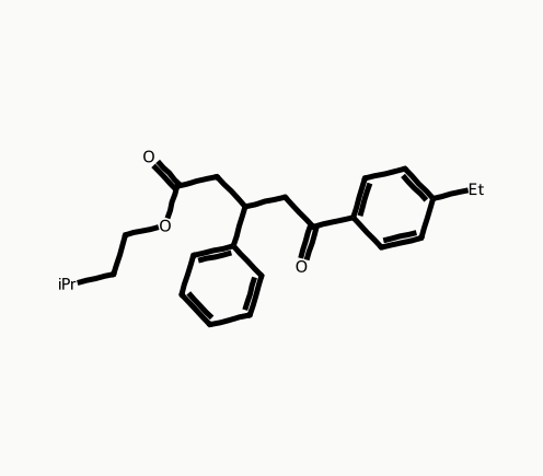 CCc1ccc(C(=O)CC(CC(=O)OCCC(C)C)c2ccccc2)cc1